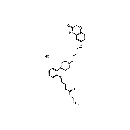 CCOC(=O)CCCOc1ccccc1N1CCN(CCCCOc2ccc3c(c2)NC(=O)CO3)CC1.Cl